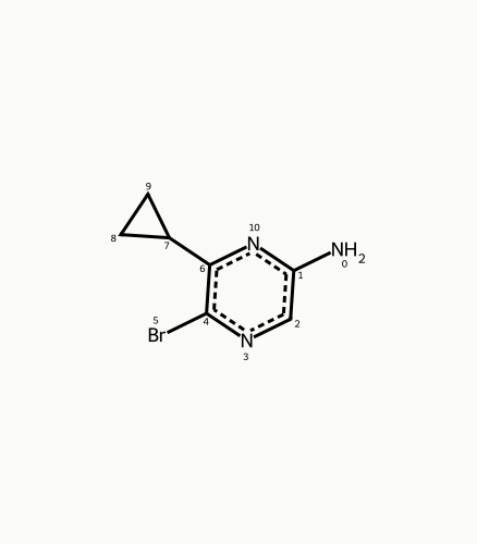 Nc1cnc(Br)c(C2CC2)n1